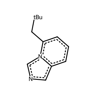 CC(C)(C)Cc1cccc2cncn12